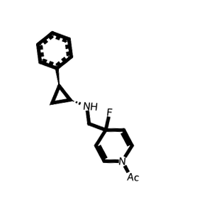 CC(=O)N1C=CC(F)(CN[C@@H]2C[C@H]2c2ccccc2)C=C1